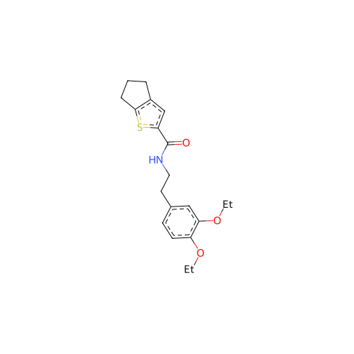 CCOc1ccc(CCNC(=O)c2cc3c(s2)CCC3)cc1OCC